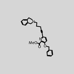 COC(=O)c1nc(C#CCCCN2CCc3ccccc3C2)ccc1OCc1ccccc1